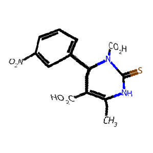 CC1=C(C(=O)O)C(c2cccc([N+](=O)[O-])c2)N(C(=O)O)C(=S)N1